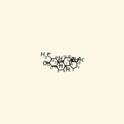 CC(=O)C12CCC3(CC1)[C@@H]1CCC4=CC(=O)C(C)C[C@@H]4[C@H]1CC[C@]23C